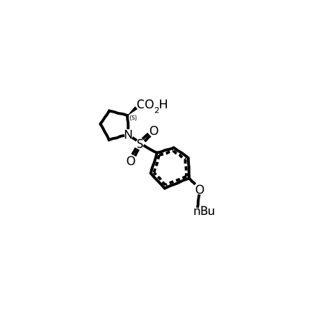 CCCCOc1ccc(S(=O)(=O)N2CCC[C@H]2C(=O)O)cc1